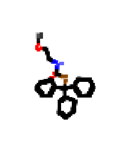 [CH2]COCCNC(=O)SC(c1ccccc1)(c1ccccc1)c1ccccc1